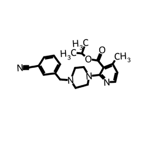 Cc1ccnc(N2CCN(Cc3cccc(C#N)c3)CC2)c1C(=O)OC(C)C